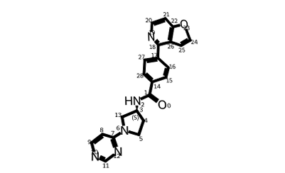 O=C(N[C@H]1CCN(c2ccncn2)C1)c1ccc(-c2nccc3occc23)cc1